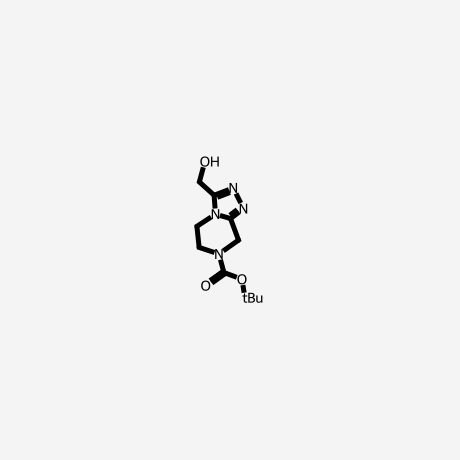 CC(C)(C)OC(=O)N1CCn2c(CO)nnc2C1